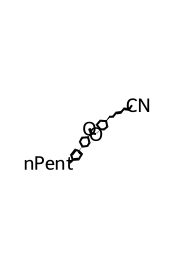 CCCCCc1ccc([C@H]2CC[C@H](C(=O)O[C@H]3CC[C@H](CCC=CC=CC#N)CC3)CC2)cc1